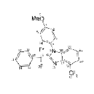 COc1ccc(-n2c(C(F)(F)c3ccccc3)nc3c(C(F)(F)F)cccc32)cc1